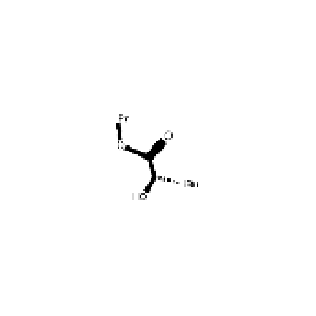 CC[C@@H](C)C(O)C(=O)OC(C)C